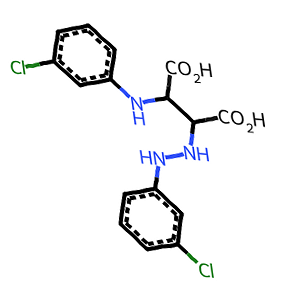 O=C(O)C(NNc1cccc(Cl)c1)C(Nc1cccc(Cl)c1)C(=O)O